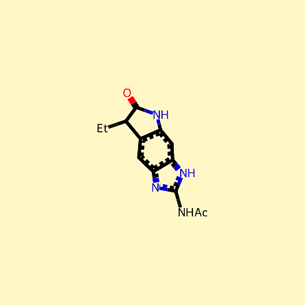 CCC1C(=O)Nc2cc3[nH]c(NC(C)=O)nc3cc21